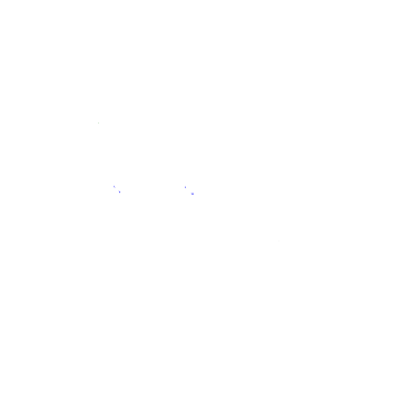 FC(F)(F)C1=Cn2cc(Cl)nc2C=CC1